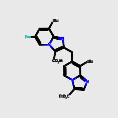 CCOC(=O)c1cnc2c(C(C)(C)C)c(Cc3nc4c(C(C)(C)C)cc(F)cn4c3C(=O)OCC)ccn12